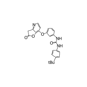 CC(C)(C)c1ccc(NC(=O)Nc2cccc(Oc3ccnc4c3OC(=O)C4)c2)cc1